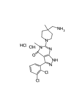 Cl.Cl.Cn1c(N2CCC(C)(CN)CC2)nc2[nH]nc(-c3cccc(Cl)c3Cl)c2c1=O